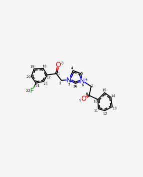 O=C(Cn1cc[n+](CC(=O)c2ccccc2)c1)c1cccc(F)c1